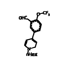 CCCCCCN1C=CC(c2ccc(OC(F)(F)F)c(C=O)c2)=CC1